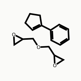 C(OCC1CO1)C1CO1.C1=C(c2ccccc2)CCC1